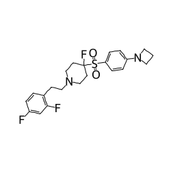 O=S(=O)(c1ccc(N2CCC2)cc1)C1(F)CCN(CCc2ccc(F)cc2F)CC1